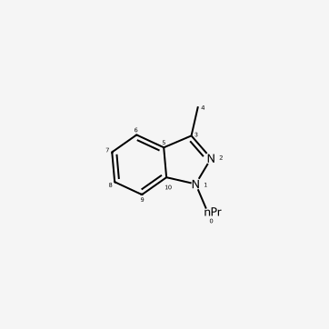 CCCn1nc(C)c2ccccc21